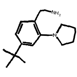 CC(C)(C)c1ccc(CN)c(N2CCCC2)c1